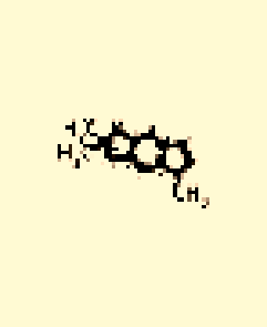 CC1C=Cc2cc3c(cc21)CC(C)(C)C3